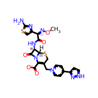 CO/N=C(\C(=O)N[C@@H]1C(=O)N2C(C(=O)[O-])=C(C[n+]3ccc(-c4cc[nH]n4)cc3)CS[C@@H]12)c1csc(N)n1